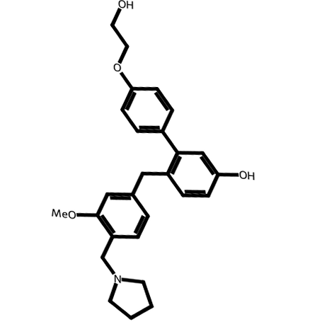 COc1cc(Cc2ccc(O)cc2-c2ccc(OCCO)cc2)ccc1CN1CCCC1